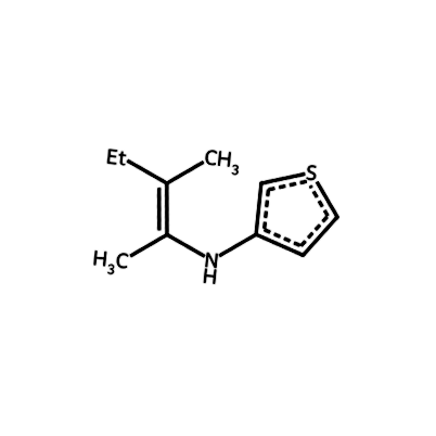 CCC(C)=C(C)Nc1ccsc1